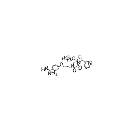 CCOC(=O)CC(c1cccnc1)N1CCN(CCCOc2ccc(C(=N)N)cc2)C(=O)C1=O.Cl